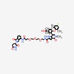 Cc1cc(F)cc(C)c1Oc1ccc(C(C)(C)O)cc1-c1cn(C)c(=O)c2cc(C(=O)NCCOCCOCCOCCC(=O)Nc3cccc4c3CN(C3CCC(=O)NC3=O)C4=O)[nH]c12